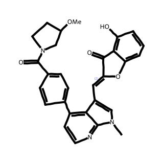 COC1CCN(C(=O)c2ccc(-c3ccnc4c3c(/C=C3\Oc5cccc(O)c5C3=O)cn4C)cc2)C1